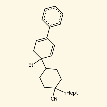 CCCCCCCC1(C#N)CCC(C2(CC)C=CC(c3ccccc3)=CC2)CC1